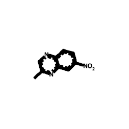 Cc1cnc2ccc([N+](=O)[O-])cc2n1